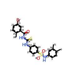 Cc1ccc(NS(=O)(=O)c2ccc(NC(=S)NC(=O)c3cc(Br)ccc3C)cc2)cc1C